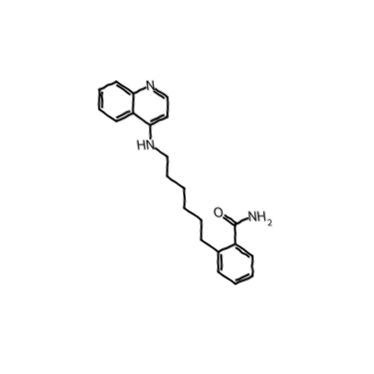 NC(=O)c1ccccc1CCCCCCNc1ccnc2ccccc12